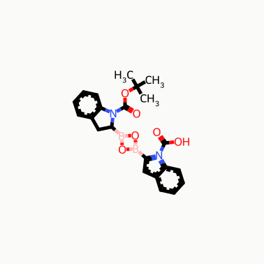 CC(C)(C)OC(=O)N1c2ccccc2CC1B1OB(c2cc3ccccc3n2C(=O)O)O1